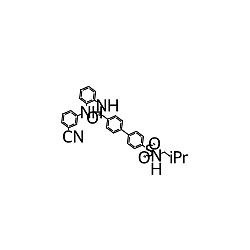 CC(C)CNS(=O)(=O)c1ccc(-c2ccc(C(=O)Nc3ccccc3Nc3cccc(C#N)c3)cc2)cc1